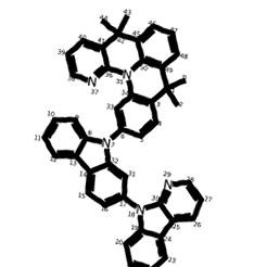 CC1(C)c2ccc(-n3c4ccccc4c4ccc(-n5c6ccccc6c6cccnc65)cc43)cc2N2c3ncccc3C(C)(C)c3cccc1c32